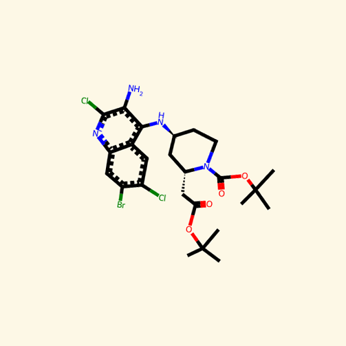 CC(C)(C)OC(=O)C[C@@H]1C[C@@H](Nc2c(N)c(Cl)nc3cc(Br)c(Cl)cc23)CCN1C(=O)OC(C)(C)C